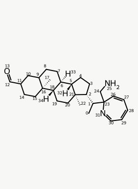 CC([C@H]1CC[C@H]2[C@@H]3CCC4CC(C=O)CC[C@]4(C)[C@H]3CC[C@]12C)C1(CN)C=CC=CC=N1